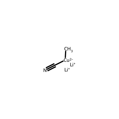 [CH3][Cu-2][C]#N.[Li+].[Li+]